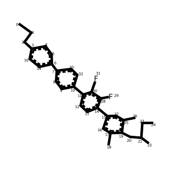 CCCc1ccc(-c2ccc(-c3ccc(-c4cc(C)c(CC(C)CC)c(C)c4)c(F)c3F)cc2)cc1